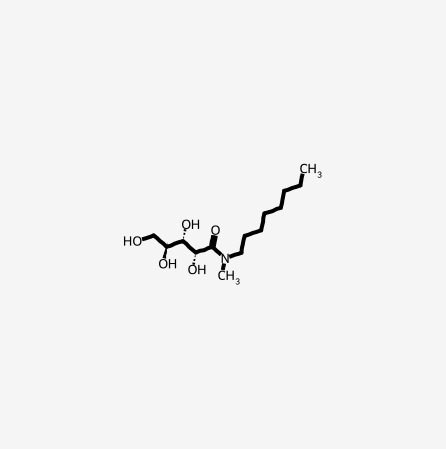 CCCCCCCCN(C)C(=O)[C@H](O)[C@@H](O)[C@@H](O)CO